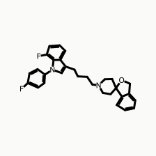 Fc1ccc(-n2cc(CCCCN3CCC4(CC3)OCc3ccccc34)c3cccc(F)c32)cc1